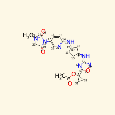 CC(=O)OC1(c2nc(N[C@H]3CC[C@H](Nc4ccc(N5C(=O)CN(C)C5=O)cn4)C3)no2)CC1